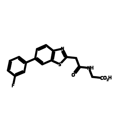 O=C(O)CNC(=O)Cc1nc2ccc(-c3cccc(F)c3)cc2s1